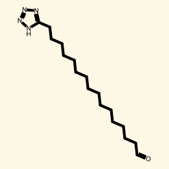 O=CCCCCCCCCCCCCCCCc1nnn[nH]1